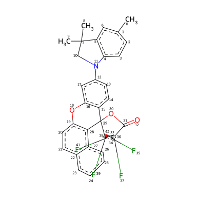 Cc1ccc2c(c1)C(C)(C)CN2c1ccc2c(c1)Oc1ccc3ccccc3c1C21OC(=O)c2c(F)c(F)c(F)c(F)c21